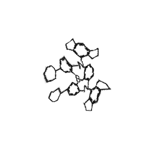 c1cc2c3c(c1)N(c1c4c(cc5c1CCC5)CCC4)c1ccc(C4CCCCC4)cc1B3c1cc(C3CCCCC3)ccc1N2c1c2c(cc3c1CCC3)CCC2